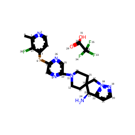 Cc1nccc(Sc2cnc(N3CCC4(CC3)Cn3nccc3[C@H]4N)cn2)c1F.O=C(O)C(F)(F)F